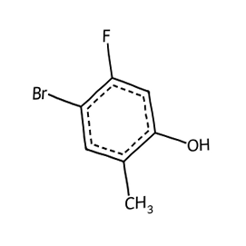 Cc1cc(Br)c(F)cc1O